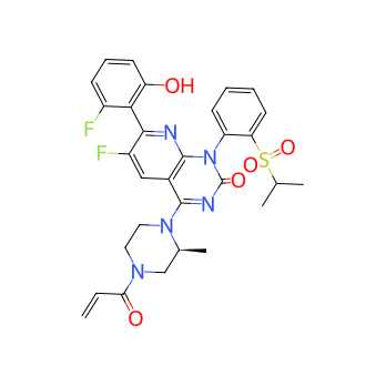 C=CC(=O)N1CCN(c2nc(=O)n(-c3ccccc3S(=O)(=O)C(C)C)c3nc(-c4c(O)cccc4F)c(F)cc23)[C@@H](C)C1